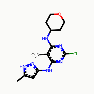 Cc1cc(Nc2nc(Cl)nc(NC3CCOCC3)c2[N+](=O)[O-])n[nH]1